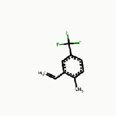 C=[C]c1cc(C(F)(F)F)ccc1C